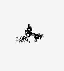 CC(C)(C)OC(=O)N1CCC(COCc2cc(Br)cc(C(F)(F)F)c2)(c2ccc(F)cc2F)CC1